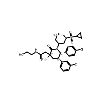 CCC(CN(C)S(=O)(=O)C1CC1)N1C(=O)[C@@](C)(CC(=O)NCCO)C[C@H](c2cccc(Cl)c2)[C@H]1c1ccc(Cl)cc1